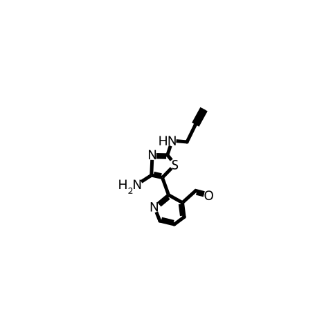 C#CCNc1nc(N)c(-c2ncccc2C=O)s1